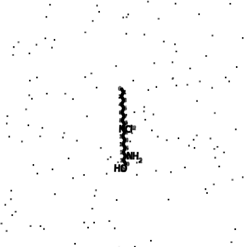 CCCCCCCCCCCCCCCCCC(N)CCO.Cl